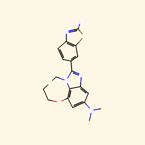 CC(C)N(C)c1cc2c3c(c1)nc(-c1ccc4nc(N)sc4c1)n3CCCCO2